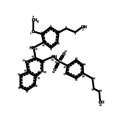 COc1cc(CCO)ccc1Nc1nc2ccccc2nc1NS(=O)(=O)c1ccc(CCCO)cc1